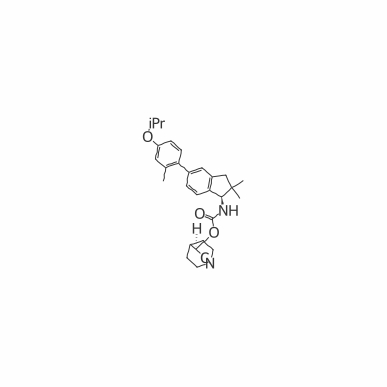 Cc1cc(OC(C)C)ccc1-c1ccc2c(c1)CC(C)(C)[C@H]2NC(=O)O[C@H]1CN2CCC1CC2